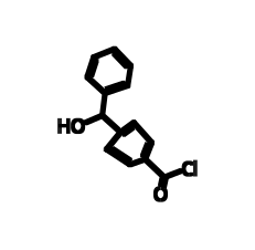 O=C(Cl)c1ccc(C(O)c2ccccc2)cc1